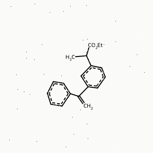 C=C(c1ccccc1)c1cccc(C(C)C(=O)OCC)c1